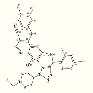 CCN1CCC(n2cc(C(Nc3cc(Cl)c4ncc(C#N)c(Nc5ccc(F)c(Cl)c5)c4c3)c3ccc(F)cc3C)nn2)CC1